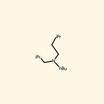 CCCCN(CCC(C)C)CC(C)C